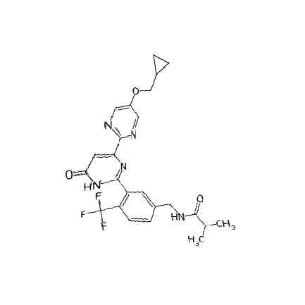 CC(C)C(=O)NCc1ccc(C(F)(F)F)c(-c2nc(-c3ncc(OCC4CC4)cn3)cc(=O)[nH]2)c1